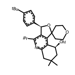 CC(C)c1nc2c(c3c1[C@@H](c1ccc(C(C)(C)C)cc1)OC31CCOCC1)[C@@H](O)CC(C)(C)C2